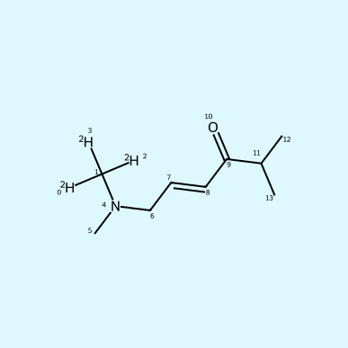 [2H]C([2H])([2H])N(C)C/C=C/C(=O)C(C)C